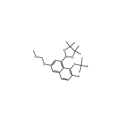 COCOc1cc(B2OC(C)(C)C(C)(C)O2)c2c(SC(F)(F)F)c(F)ccc2c1